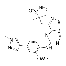 COc1cc(-c2cnn(C)c2)ccc1Nc1ncc2ccnc(CC(C)(C)[S+](N)[O-])c2n1